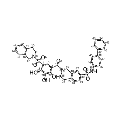 O=C(c1cc(S(=O)(=O)N2CCc3ccccc3C2)c(O)c(O)c1O)N1CCc2ccc(S(=O)(=O)Nc3ccc(-c4ccccc4)cc3)cc2C1